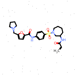 C=CC(=O)NC1CCCCN(S(=O)(=O)c2ccc(NC(=O)c3ccc(CN4CCCC4)o3)cc2)C1